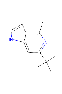 Cc1nc(C(C)(C)C)cc2[nH]ccc12